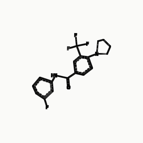 O=C(Nc1cccc(F)c1)c1ccc(N2CCCC2)c(C(F)(F)F)c1